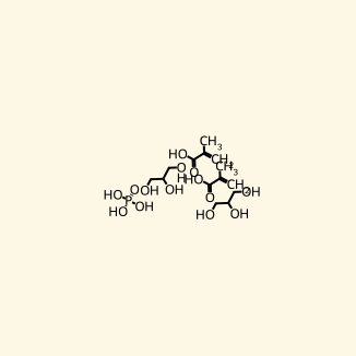 C=C(C)C(=O)O.C=C(C)C(=O)O.O=P(O)(O)O.OCC(O)CO.OCC(O)CO